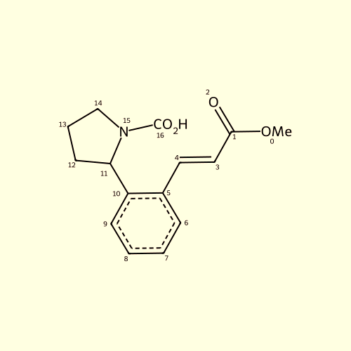 COC(=O)C=Cc1ccccc1C1CCCN1C(=O)O